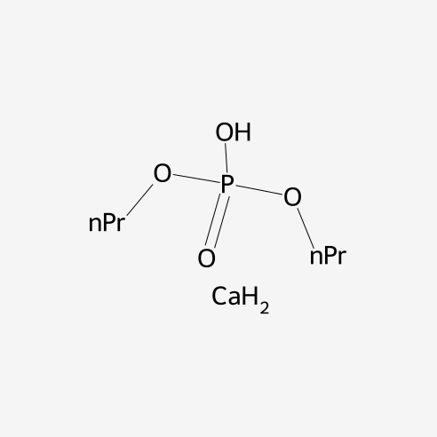 CCCOP(=O)(O)OCCC.[CaH2]